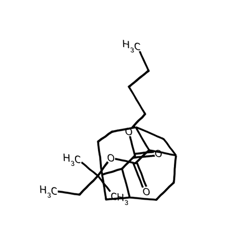 CCCCOC(=O)C1C2CCC3CC(CCC1C2)C3C(=O)OC(C)(C)CC